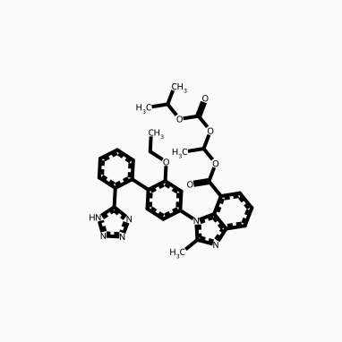 CCOc1cc(-n2c(C)nc3cccc(C(=O)OC(C)OC(=O)OC(C)C)c32)ccc1-c1ccccc1-c1nnn[nH]1